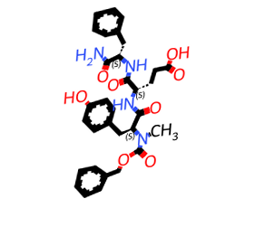 CN(C(=O)OCc1ccccc1)[C@@H](Cc1ccc(O)cc1)C(=O)N[C@@H](CCC(=O)O)C(=O)N[C@@H](Cc1ccccc1)C(N)=O